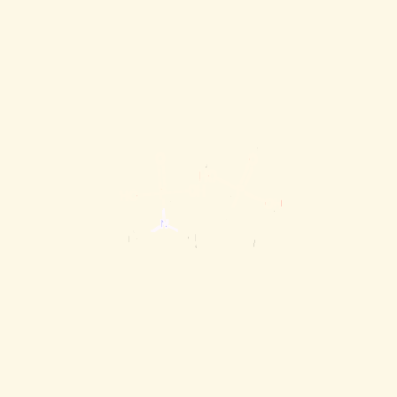 CCP(=O)(O)O.CN(C)P(=O)(O)O